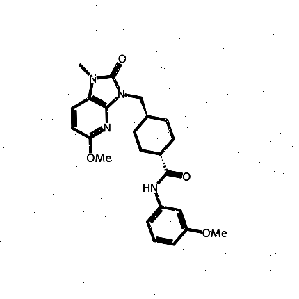 COc1cccc(NC(=O)[C@H]2CC[C@H](Cn3c(=O)n(C)c4ccc(OC)nc43)CC2)c1